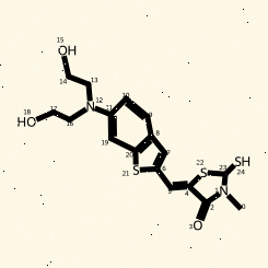 CN1C(=O)/C(=C/c2cc3ccc(N(CCO)CCO)cc3s2)SC1S